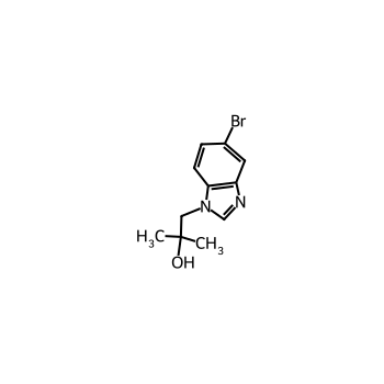 CC(C)(O)Cn1cnc2cc(Br)ccc21